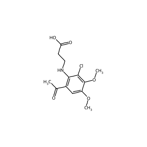 COc1cc(C(C)=O)c(NCCC(=O)O)c(Cl)c1OC